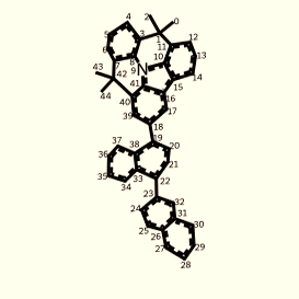 CC1(C)c2cccc3c2-n2c4c1cccc4c1cc(-c4ccc(-c5ccc6ccccc6c5)c5ccccc45)cc(c12)C3(C)C